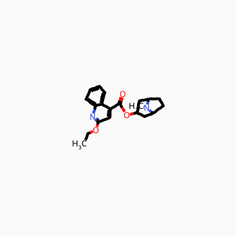 CCOc1cc(C(=O)OC2CC3CCC(C2)N3C)c2ccccc2n1